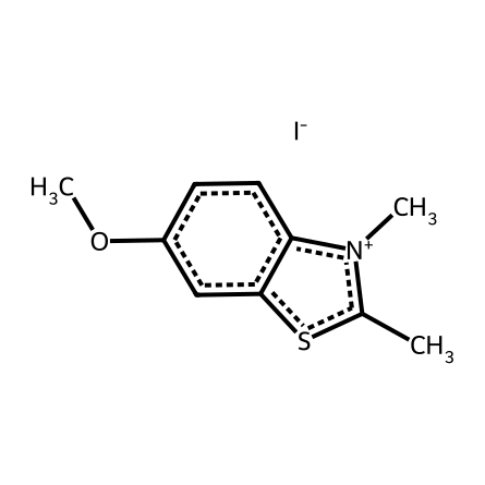 COc1ccc2c(c1)sc(C)[n+]2C.[I-]